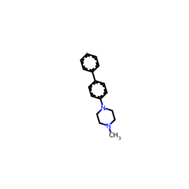 CN1CCN(c2ccc(-c3cc[c]cc3)cc2)CC1